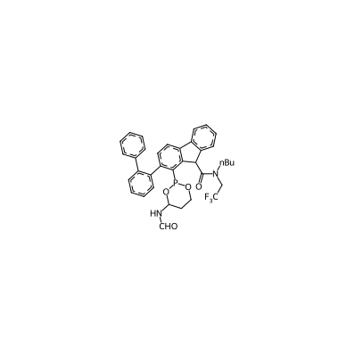 CCCCN(CC(F)(F)F)C(=O)C1c2ccccc2-c2ccc(-c3ccccc3-c3ccccc3)c(P3OCCC(NC=O)O3)c21